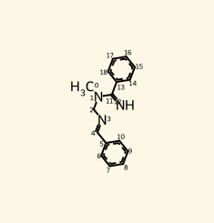 CN(C/N=C/c1ccccc1)C(=N)c1ccccc1